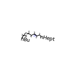 [CH2]CCCCCCC/C=C/CC=C=CCCCC